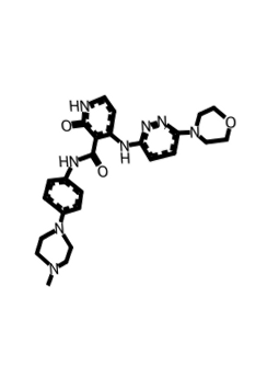 CN1CCN(c2ccc(NC(=O)c3c(Nc4ccc(N5CCOCC5)nn4)cc[nH]c3=O)cc2)CC1